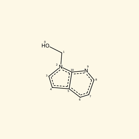 OCn1ccc2cccnc21